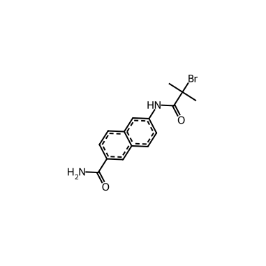 CC(C)(Br)C(=O)Nc1ccc2cc(C(N)=O)ccc2c1